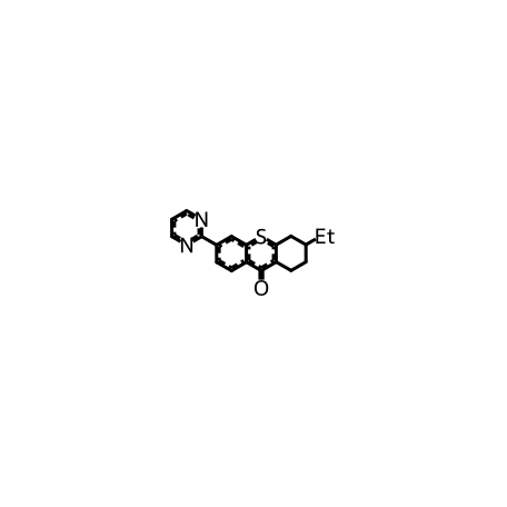 CCC1CCc2c(sc3cc(-c4ncccn4)ccc3c2=O)C1